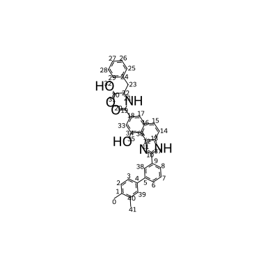 Cc1ccc(-c2cccc(-c3nc4c(ccc5cc(C(=O)NC(Cc6ccccc6)C(=O)O)cc(O)c54)[nH]3)c2)cc1C